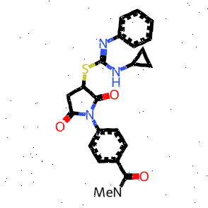 CNC(=O)c1ccc(N2C(=O)CC(S/C(=N/c3ccccc3)NC3CC3)C2=O)cc1